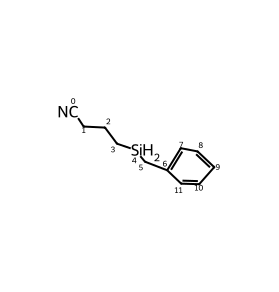 N#CCCC[SiH2]Cc1ccccc1